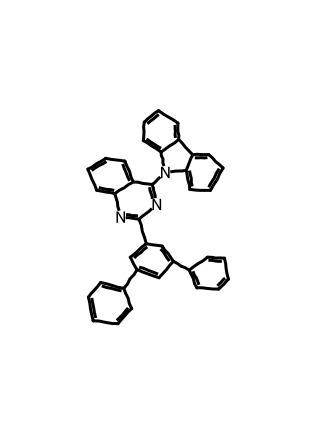 c1ccc(-c2cc(-c3ccccc3)cc(-c3nc(-n4c5ccccc5c5ccccc54)c4ccccc4n3)c2)cc1